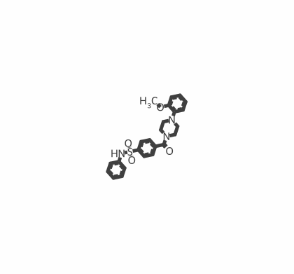 COc1ccccc1N1CCN(C(=O)c2ccc(S(=O)(=O)Nc3ccccc3)cc2)CC1